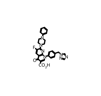 O=C(O)c1cn(-c2ccc(Cn3cncn3)cc2)c2nc(N3CCN(c4ccccc4)CC3)c(F)cc2c1=O